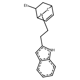 CCC1CC2C=CC1N(CCc1cc3ccccc3[nH]1)C2